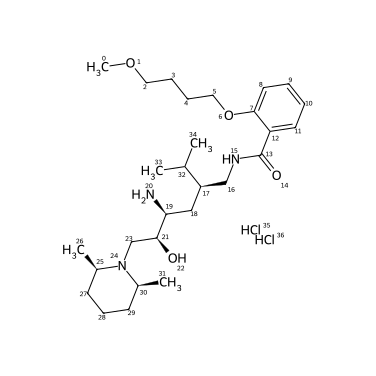 COCCCCOc1ccccc1C(=O)NC[C@@H](C[C@H](N)[C@@H](O)CN1[C@H](C)CCC[C@@H]1C)C(C)C.Cl.Cl